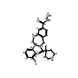 CC1(C(=O)N2Cc3ccc(C(=O)NO)cc3OC[C@@H]2c2cccc(F)c2)CCOCC1